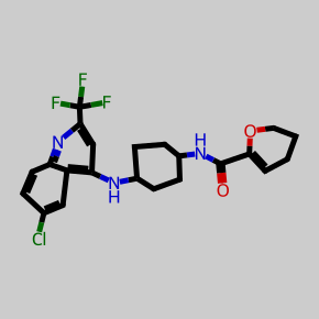 O=C(NC1CCC(Nc2cc(C(F)(F)F)nc3ccc(Cl)cc23)CC1)C1=CCCCO1